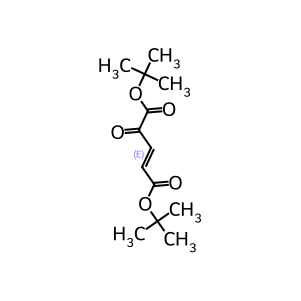 CC(C)(C)OC(=O)/C=C/C(=O)C(=O)OC(C)(C)C